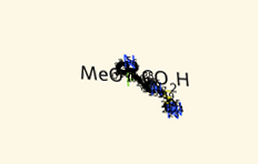 COc1ccc2nccc([C@H](F)CC[C@@H]3CCN(CCSc4ccnnc4)C[C@@H]3C(=O)O)c2c1